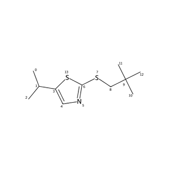 CC(C)c1cnc(SCC(C)(C)C)s1